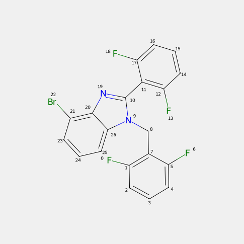 Fc1cccc(F)c1Cn1c(-c2c(F)cccc2F)nc2c(Br)cccc21